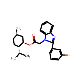 CC(C)[C@@H]1CC[C@@H](C)C[C@H]1OC(=O)Cn1c(-c2cccc(Br)c2)nc2ccccc21